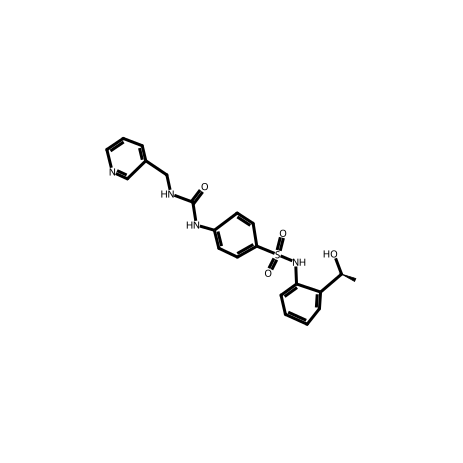 C[C@H](O)c1ccccc1NS(=O)(=O)c1ccc(NC(=O)NCc2cccnc2)cc1